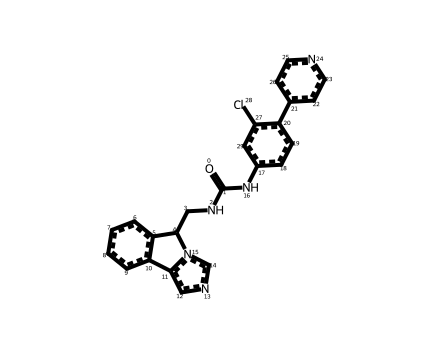 O=C(NCC1c2ccccc2-c2cncn21)Nc1ccc(-c2ccncc2)c(Cl)c1